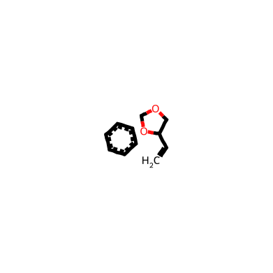 C=CC1COCO1.c1ccccc1